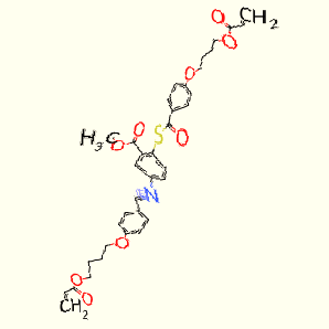 C=CC(=O)OCCCCOc1ccc(/C=N/c2ccc(SC(=O)c3ccc(OCCCCOC(=O)C=C)cc3)c(C(=O)OC)c2)cc1